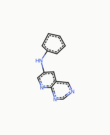 c1ccc(Nc2cnc3ncncc3c2)cc1